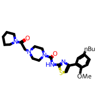 CCCCc1ccc(OC)c(-c2csc(NC(=O)N3CCN(CC(=O)N4CCCCC4)CC3)n2)c1